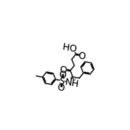 Cc1ccc(S(=O)(=O)N[C@H](Cc2ccccc2)C(=O)CCC(=O)O)cc1